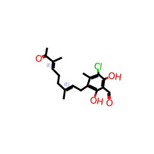 CC(=O)/C(C)=C/CC/C(C)=C/Cc1c(C)c(Cl)c(O)c(C=O)c1O